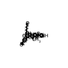 C[C@@H](Nc1ncnc2c1cc(N1CCN(C3COC3)CC1)c(=O)n2CCCCCCC=O)c1cccc(C(F)(F)C2CCNCC2)c1F